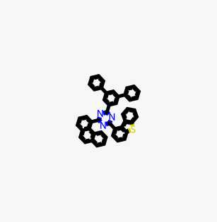 c1ccc(-c2cc(-c3ccccc3)cc(-c3nc(-c4cccc5ccc6ccccc6c45)nc(-c4cccc5sc6ccccc6c45)n3)c2)cc1